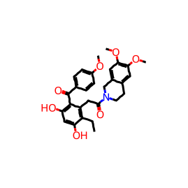 CCc1c(O)cc(O)c(C(=O)c2ccc(OC)cc2)c1CC(=O)N1CCc2cc(OC)c(OC)cc2C1